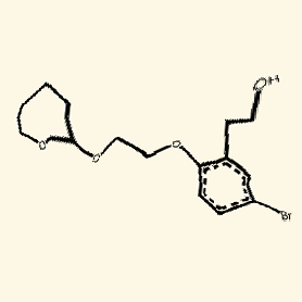 OCCc1cc(Br)ccc1OCCOC1CCCCO1